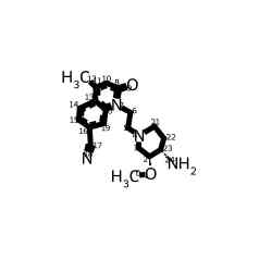 CO[C@@H]1CN(CCn2c(=O)cc(C)c3ccc(C#N)cc32)CC[C@@H]1N